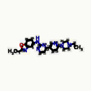 CCc1nc2cc(Nc3nccc(-c4ccc(N5CCN(CC)CC5)nc4)n3)ccc2o1